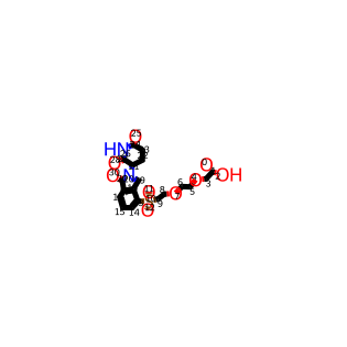 O=C(O)COCCOCCS(=O)(=O)c1cccc2c1CN(C1CCC(=O)NC1=O)C2=O